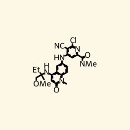 CCC(C)(COC)Nc1cc(=O)n(C)c2ccc(Nc3cc(C(=O)NC)nc(Cl)c3C#N)cc12